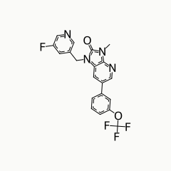 Cn1c(=O)n(Cc2cncc(F)c2)c2cc(-c3cccc(OC(F)(F)F)c3)cnc21